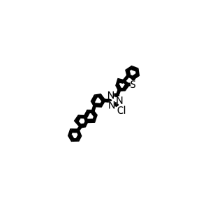 Clc1nc(-c2cccc(-c3ccc4cc(-c5ccccc5)ccc4c3)c2)nc(-c2ccc3c(c2)sc2ccccc23)n1